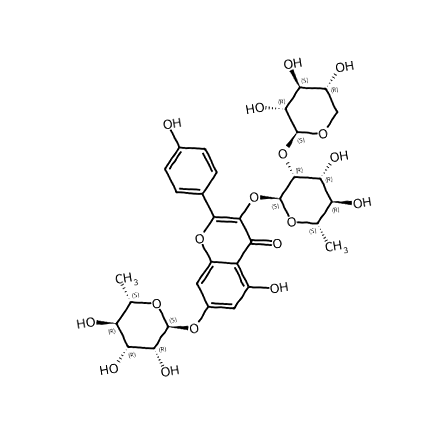 C[C@@H]1O[C@@H](Oc2cc(O)c3c(=O)c(O[C@@H]4O[C@@H](C)[C@H](O)[C@@H](O)[C@H]4O[C@@H]4OC[C@@H](O)[C@H](O)[C@H]4O)c(-c4ccc(O)cc4)oc3c2)[C@H](O)[C@H](O)[C@H]1O